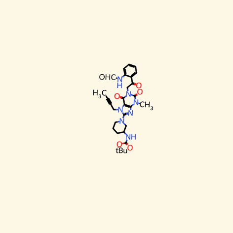 CC#CCn1c(N2CCCC(NC(=O)OC(C)(C)C)C2)nc2c1c(=O)n(CC(=O)c1ccccc1NC=O)c(=O)n2C